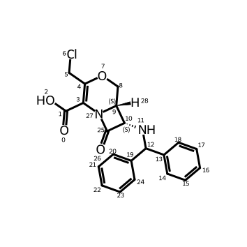 O=C(O)C1=C(CCl)OC[C@@H]2[C@H](NC(c3ccccc3)c3ccccc3)C(=O)N12